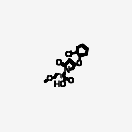 COCC[C@@H](C(=O)O)N1CC(Oc2ccccc2Cl)=CC1=O